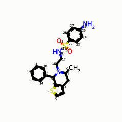 CC1Cc2ccsc2C(c2ccccc2)N1CCNS(=O)(=O)c1ccc(N)cc1